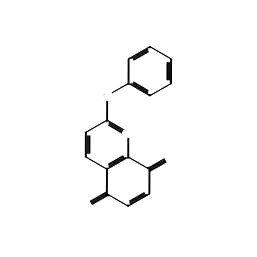 O=C1C=CC(=O)c2nc(Nc3ccccc3)ccc21